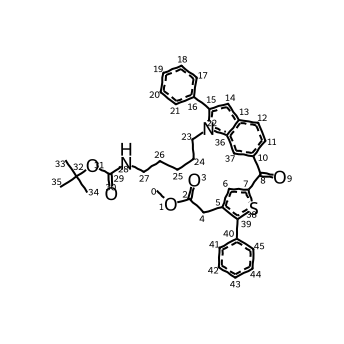 COC(=O)Cc1cc(C(=O)c2ccc3cc(-c4ccccc4)n(CCCCCNC(=O)OC(C)(C)C)c3c2)sc1-c1ccccc1